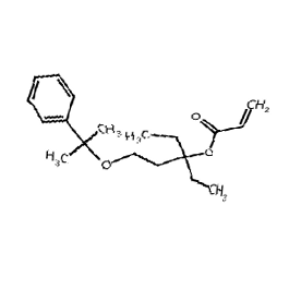 C=CC(=O)OC(CC)(CC)CCOC(C)(C)c1ccccc1